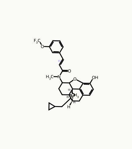 CN(C(=O)/C=C/c1cccc(OC(F)(F)F)c1)C1CC[C@@]2(C)[C@H]3Cc4ccc(O)c5c4[C@@]2(CCN3CC2CC2)C1O5